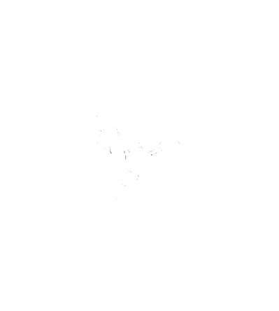 C=Cc1ccc(P(c2ccc(C=C)cc2)c2ccc(C=C)cn2)cc1